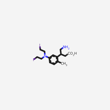 Cc1ccc(N(CCI)CCI)cc1C(CN)CC(=O)O